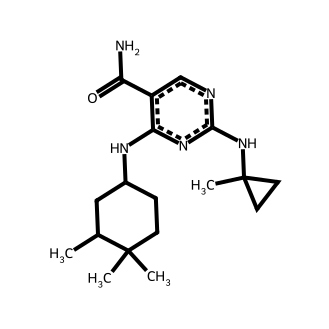 CC1CC(Nc2nc(NC3(C)CC3)ncc2C(N)=O)CCC1(C)C